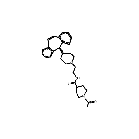 CC(=O)N1CCC(C(=O)NCCN2CCC(=C3c4ccccc4C=Cc4ccccc43)CC2)CC1